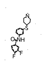 CN1CCC(Sc2cccc(NC(=O)c3ccc(F)c(F)c3)c2)CC1